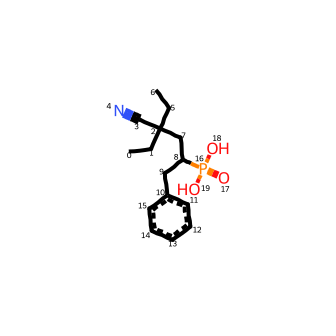 CCC(C#N)(CC)CC(Cc1ccccc1)P(=O)(O)O